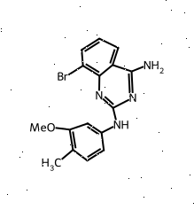 COc1cc(Nc2nc(N)c3cccc(Br)c3n2)ccc1C